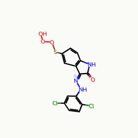 O=C1Nc2ccc(SOOO)cc2/C1=N/Nc1cc(Cl)ccc1Cl